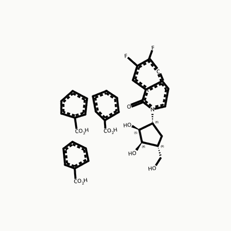 O=C(O)c1ccccc1.O=C(O)c1ccccc1.O=C(O)c1ccccc1.O=c1c2cc(F)c(F)cc2ccn1[C@@H]1C[C@H](CO)[C@@H](O)[C@H]1O